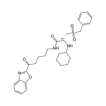 O=C(CCCCNC(=O)[C@H](CS(=O)(=O)Cc1ccccc1)NC1CCCCC1)c1nc2ccccc2o1